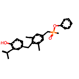 Cc1cc(CP(C)(=O)Oc2ccccc2)cc(C)c1Cc1ccc(O)c(C(C)C)c1